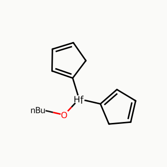 CCCC[O][Hf]([C]1=CC=CC1)[C]1=CC=CC1